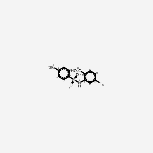 CC(C)(C)c1ccc(S(=O)(=O)Nc2cc(F)ccc2C(=O)O)cc1